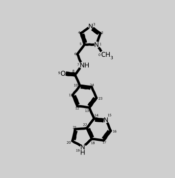 Cn1cncc1CNC(=O)c1ccc(-c2nccc3[nH]ccc23)cc1